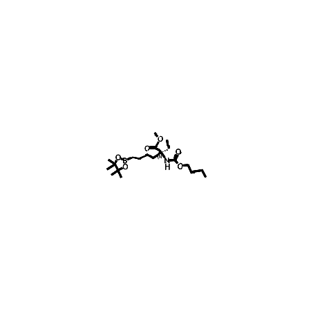 CCCCOC(=O)N[C@@](CC)(CCCCB1OC(C)(C)C(C)(C)O1)C(=O)OC